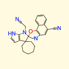 N#CCN1c2[nH]ccc2C2(CCCCCC2)C12C=Nc1cc(C#N)c3ccccc3c1O2